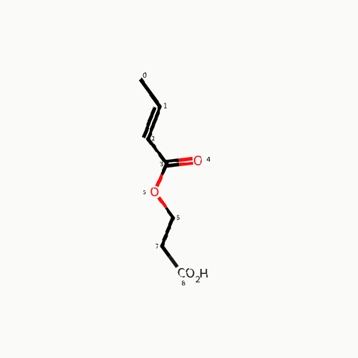 CC=CC(=O)OCCC(=O)O